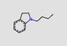 CCCCN1CCc2ccccc21